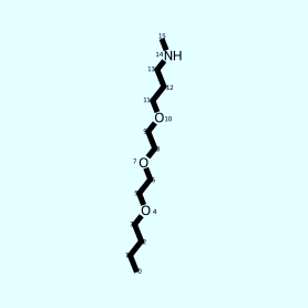 CCCCOCCOCCOCCCNC